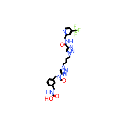 O=CN(Cc1cccc(CNC(=O)O)c1)c1cn(CCCCn2cc(C(=O)NCc3cc(C(F)(F)F)ccn3)nn2)nn1